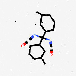 CC1CCCC(C(N=C=O)(N=C=O)C2CCCC(C)C2)C1